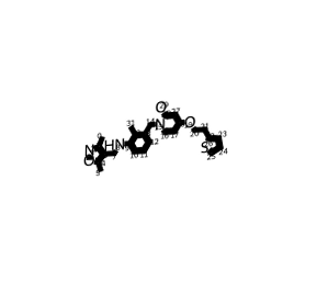 Cc1noc(C)c1CNc1cccc(Cn2ccc(OCCc3cccs3)cc2=O)c1C